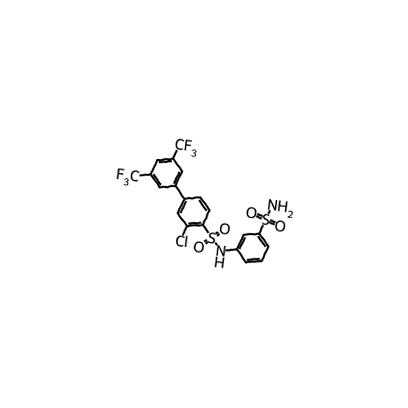 NS(=O)(=O)c1cccc(NS(=O)(=O)c2ccc(-c3cc(C(F)(F)F)cc(C(F)(F)F)c3)cc2Cl)c1